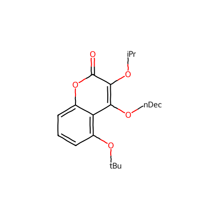 CCCCCCCCCCOc1c(OC(C)C)c(=O)oc2cccc(OC(C)(C)C)c12